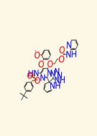 COc1ccccc1Oc1c(NS(=O)(=O)c2ccc(C(C)(C)C)cc2)nc(C2(c3nnn[nH]3)C=CC=CN2)nc1OCCOC(=O)Nc1ccccn1